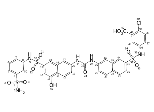 NS(=O)(=O)c1cccc(NS(=O)(=O)c2cc(O)c3ccc(NC(=O)Nc4ccc5ccc(S(=O)(=O)Nc6ccc(Cl)c(C(=O)O)c6)cc5c4)cc3c2)c1